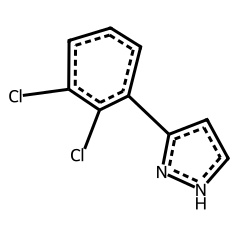 Clc1cccc(-c2cc[nH]n2)c1Cl